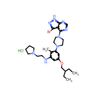 CCC(CC)COc1cc(NCCN2CCCC2)c(C)c(N2CCN(c3ncnc4[nH]nc(Br)c34)CC2)c1.Cl